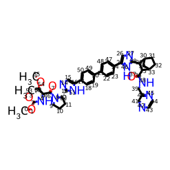 COC(=O)N[C@H](C(=O)N1CCC[C@H]1c1ncc(-c2ccc(-c3ccc(-c4cnc(C5C6CCC(C6)C5C(=O)NCc5cnccn5)[nH]4)cc3)cc2)[nH]1)[C@@H](C)OC